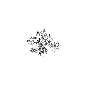 CC[C@H](C)[C@@H]([C@@H](CC(=O)N1CCC[C@H]1[C@H](OC)[C@@H](C)C(=O)N[C@H](C)[C@@H](O)c1ccccc1)OC)N(C)C(=O)[C@@H](NC(=O)[C@H](C(C)C)N(C)C(=O)OCc1ccc(O[C@@H]2O[C@H](C(=O)O)[C@@H](O)[C@H](O)[C@H]2O)c(NC(=O)CCNC(=O)C2(N3C(=O)C=CC3=O)CN(CC(C)(C)CCOC(C)(C)C)C2)c1)C(C)C